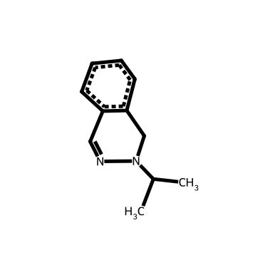 CC(C)N1Cc2ccccc2C=N1